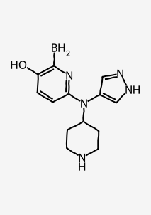 Bc1nc(N(c2cn[nH]c2)C2CCNCC2)ccc1O